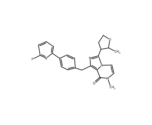 CC1OCCC1c1nc(Cc2ccc(-c3cccc(F)n3)cc2)c2c(=O)n(C)ccn12